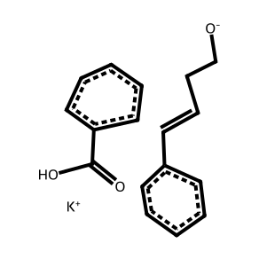 O=C(O)c1ccccc1.[K+].[O-]CCC=Cc1ccccc1